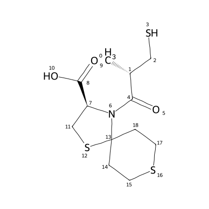 C[C@H](CS)C(=O)N1[C@H](C(=O)O)CSC12CCSCC2